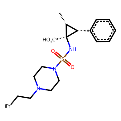 CC(C)CCN1CCN(S(=O)(=O)N[C@@]2(C(=O)O)[C@H](C)[C@@H]2c2ccccc2)CC1